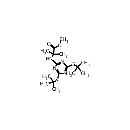 COC(=O)C(C)(C)Nc1nc(SC(C)(C)C)nc(SC(C)(C)C)n1